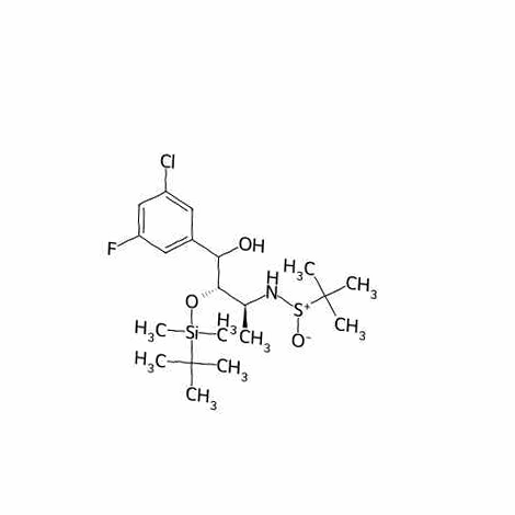 C[C@H](N[S+]([O-])C(C)(C)C)[C@H](O[Si](C)(C)C(C)(C)C)C(O)c1cc(F)cc(Cl)c1